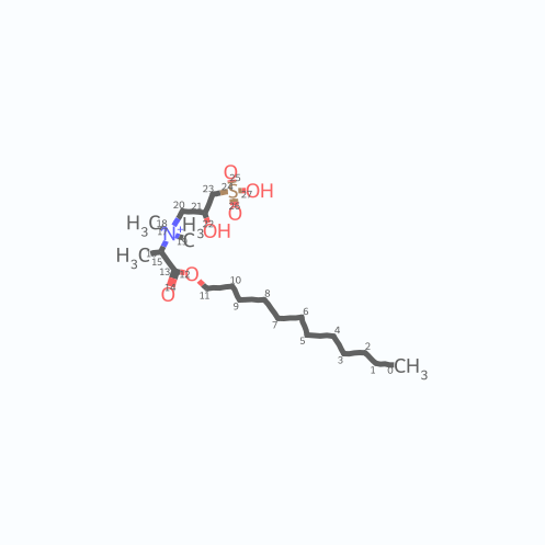 CCCCCCCCCCCCOC(=O)C(C)[N+](C)(C)CC(O)CS(=O)(=O)O